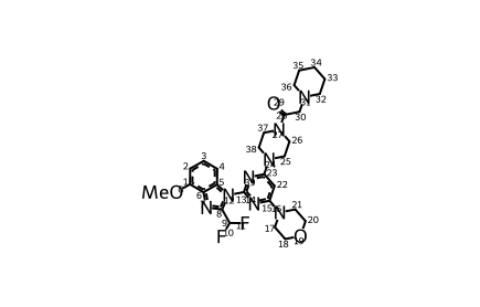 COc1cccc2c1nc(C(F)F)n2-c1nc(N2CCOCC2)cc(N2CCN(C(=O)CN3CCCCC3)CC2)n1